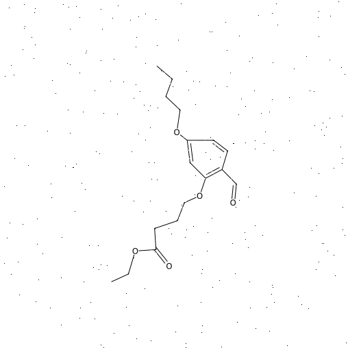 CCCCOc1ccc(C=O)c(OCCCC(=O)OCC)c1